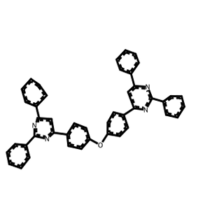 c1ccc(-c2cc(-c3ccc(Oc4ccc(-c5cc(-c6ccccc6)nc(-c6ccccc6)n5)cc4)cc3)nc(-c3ccccc3)n2)cc1